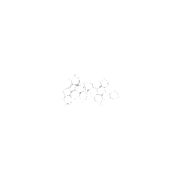 c1ccc(-c2c3ccccc3c(-c3ccc(-c4cccc5c6ccc7ccccc7c6n(-c6ccccc6)c45)nc3)c3ccccc23)cc1